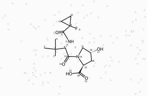 CC(C)(C)[C@H](NC(=O)C1(F)CC1)C(=O)N1C[C@H](O)C[C@H]1C(=O)O